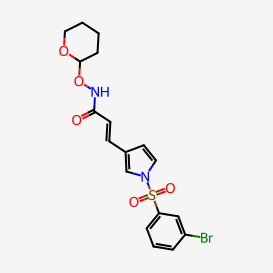 O=C(C=Cc1ccn(S(=O)(=O)c2cccc(Br)c2)c1)NOC1CCCCO1